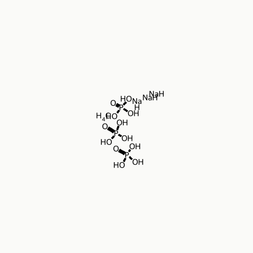 C.O=P(O)(O)O.O=P(O)(O)O.O=P(O)(O)O.[NaH].[NaH].[NaH]